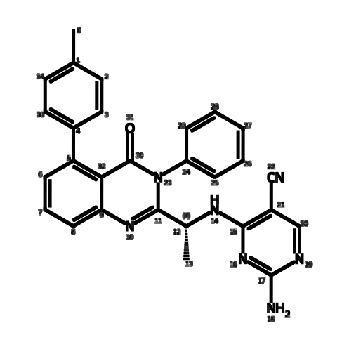 Cc1ccc(-c2cccc3nc([C@@H](C)Nc4nc(N)ncc4C#N)n(-c4ccccc4)c(=O)c23)cc1